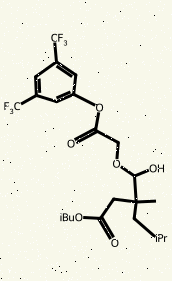 CC(C)COC(=O)CC(C)(CC(C)C)C(O)OCC(=O)Oc1cc(C(F)(F)F)cc(C(F)(F)F)c1